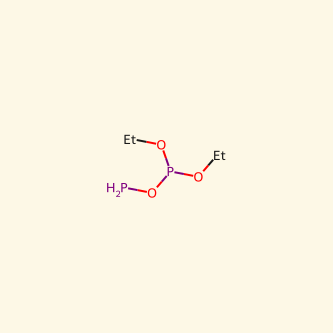 CCOP(OP)OCC